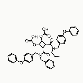 CCCN(Cc1ccc(Oc2ccccc2)cc1)C(=O)[C@@H]1[C@H](OC(=O)O)[C@@H](OC(=O)O)[C@H]1C(=O)N(Cc1ccccc1)Cc1ccc(Oc2ccccc2)cc1